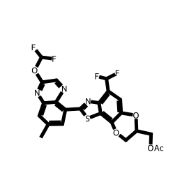 CC(=O)OCC1COc2c(cc(C(F)F)c3nc(-c4cc(C)cc5nc(OC(F)F)cnc45)sc23)O1